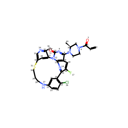 C=CC(=O)N1CCN(c2nc(=O)n3c4nc(c(F)cc24)-c2cc(ccc2Cl)NCCCSc2cnc(C(C)C)c-3c2)[C@@H](C)C1